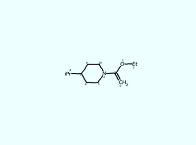 C=C(OCC)N1CCC(C(C)C)CC1